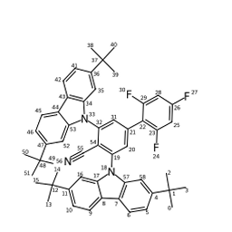 CC(C)(C)c1ccc2c3ccc(C(C)(C)C)cc3n(-c3cc(-c4c(F)cc(F)cc4F)cc(-n4c5cc(C(C)(C)C)ccc5c5ccc(C(C)(C)C)cc54)c3C#N)c2c1